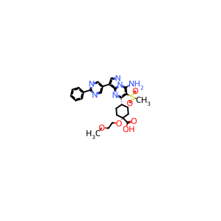 COCCO[C@]1(C(=O)O)CC[C@H](c2nc3c(-c4cnc(-c5ccccc5)nc4)cnn3c(N)c2S(C)(=O)=O)CC1